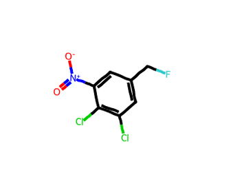 O=[N+]([O-])c1cc(CF)cc(Cl)c1Cl